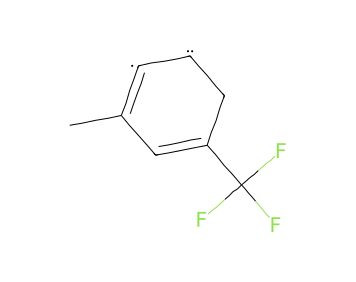 CC1=[C][C]CC(C(F)(F)F)=C1